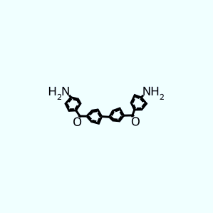 Nc1ccc(C(=O)c2ccc(-c3ccc(C(=O)c4ccc(N)cc4)cc3)cc2)cc1